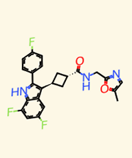 Cc1cnc(CNC(=O)[C@H]2C[C@H](c3c(-c4ccc(F)cc4)[nH]c4c(F)cc(F)cc43)C2)o1